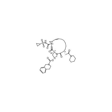 O=C1N[C@]2(C(=O)NS(=O)(=O)C3CC3)CC2C=CCCCCC[C@H](CC(=O)N2CCCCC2)C(=O)N2C[C@H](OC(=O)N3CCc4ccccc4C3)C[C@@H]12